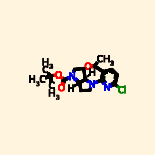 CC(=O)c1ccc(Cl)nc1N1CC[C@H]2[C@H]1CCN2C(=O)OC(C)(C)C